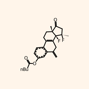 C=C1CC2=C(CC[C@]3(C)C(=O)C[C@@](C)(F)[C@]23F)c2ccc(OC(=O)CCCC)cc21